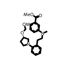 COCO[C@H]1CCN(c2ccccc2CCN(C)c2cccc(C(=O)OC)c2)C1